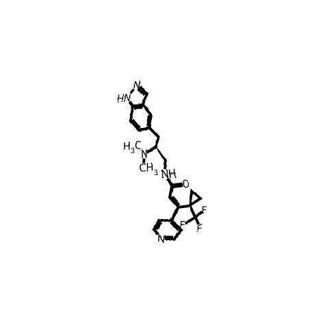 CN(C)[C@H](CNC(=O)C=C(c1ccncc1)C1(C(F)(F)F)CC1)Cc1ccc2[nH]ncc2c1